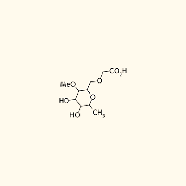 COC1C(COCC(=O)O)OC(C)C(O)C1O